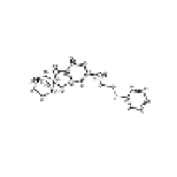 c1ccc(CCCNc2cnc3c(c2)C[C@@]2(CN4CCC2CC4)O3)cc1